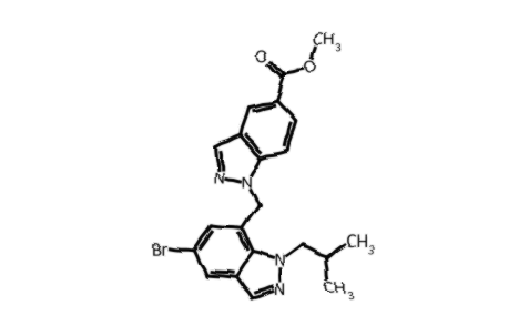 COC(=O)c1ccc2c(cnn2Cc2cc(Br)cc3cnn(CC(C)C)c23)c1